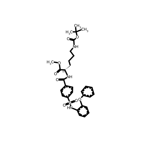 COC(=O)[C@H](CCCCNC(=O)OC(C)(C)C)NC(=O)c1ccc(S(=O)(=O)Nc2ccccc2Oc2ccccc2)cc1